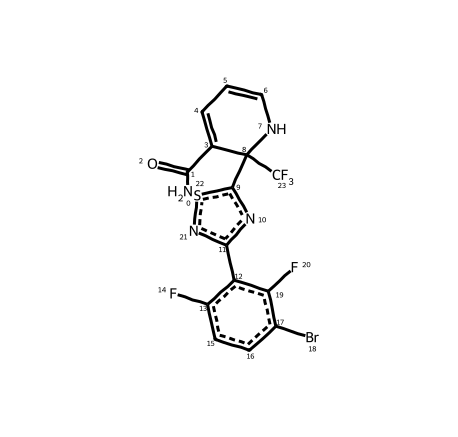 NC(=O)C1=CC=CNC1(c1nc(-c2c(F)ccc(Br)c2F)ns1)C(F)(F)F